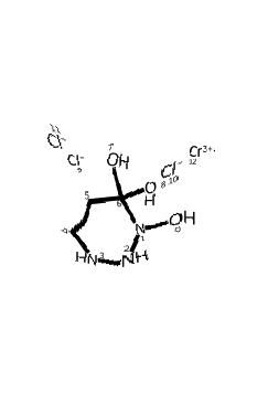 ON1NNCCC1(O)O.[Cl-].[Cl-].[Cl-].[Cr+3]